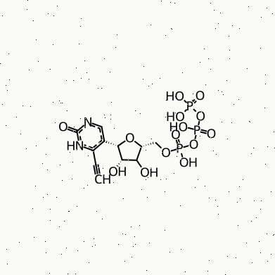 C#Cc1[nH]c(=O)ncc1[C@@H]1O[C@H](COP(=O)(O)OP(=O)(O)OP(=O)(O)O)C(O)[C@@H]1O